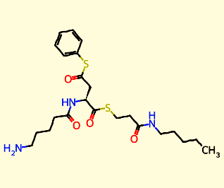 CCCCCNC(=O)CCSC(=O)[C@H](CC(=O)Sc1ccccc1)NC(=O)CCCCN